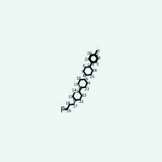 Cc1ccc(C2CCC([C@H]3CC[C@H]([C@H]4CC[C@H](CCCF)CC4)CC3)CC2)cc1